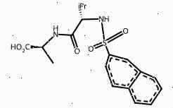 CC(C)[C@H](NS(=O)(=O)c1ccc2ccccc2c1)C(=O)N[C@@H](C)C(=O)O